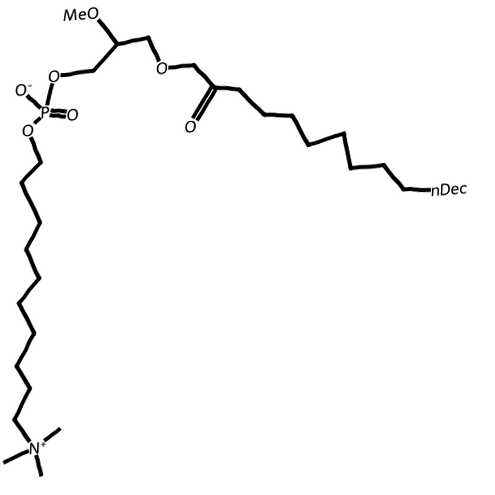 CCCCCCCCCCCCCCCCCCC(=O)COCC(COP(=O)([O-])OCCCCCCCCCC[N+](C)(C)C)OC